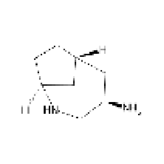 N[C@H]1CN[C@H]2CC[C@H](C1)C2